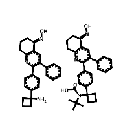 CC(C)(C)N(C(=O)O)C1(c2ccc(-c3nc4c(cc3-c3ccccc3)C(=NO)CCC4)cc2)CCC1.NC1(c2ccc(-c3nc4c(cc3-c3ccccc3)C(=NO)CCC4)cc2)CCC1